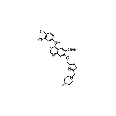 COc1cc2c(Nc3ccc(Cl)c(Cl)c3)ncnc2cc1OCc1csc(CN2CCN(C)CC2)n1